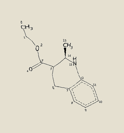 CCOC(=O)C1Cc2ccccc2N[C@@H]1C